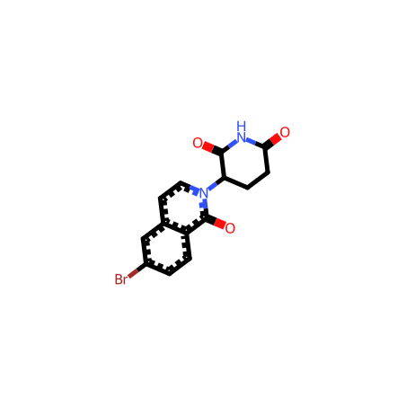 O=C1CCC(n2ccc3cc(Br)ccc3c2=O)C(=O)N1